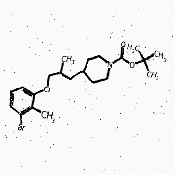 Cc1c(Br)cccc1OCC(C)CC1CCN(C(=O)OC(C)(C)C)CC1